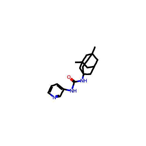 CC12CC3CC(C)(C1)CC(NC(=O)Nc1cccnc1)(C3)C2